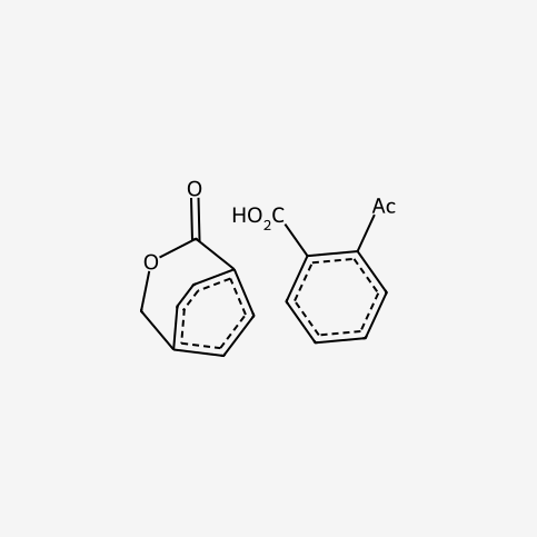 CC(=O)c1ccccc1C(=O)O.O=C1OCc2ccc1cc2